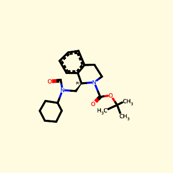 CC(C)(C)OC(=O)N1CCc2ccccc2[C@@H]1CN(C=O)C1CCCCC1